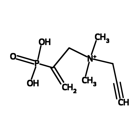 C#CC[N+](C)(C)CC(=C)P(=O)(O)O